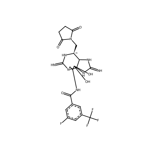 N=C1NC2[C@H](CN3C(=O)CCC3=O)NC(=N)N3CC(NC(=O)c4cc(F)cc(C(F)(F)F)c4)C(O)(O)C23N1